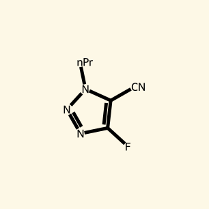 CCCn1nnc(F)c1C#N